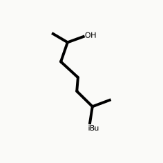 CCC(C)C(C)CCCC(C)O